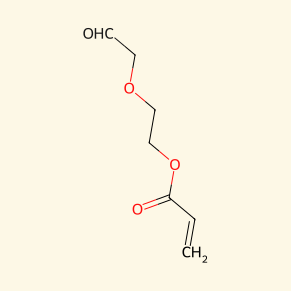 C=CC(=O)OCCOCC=O